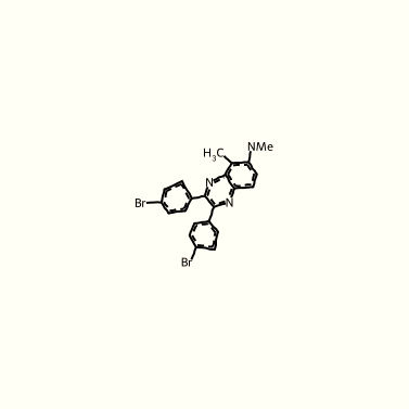 CNc1ccc2nc(-c3ccc(Br)cc3)c(-c3ccc(Br)cc3)nc2c1C